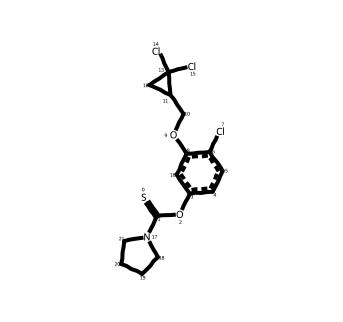 S=C(Oc1ccc(Cl)c(OCC2CC2(Cl)Cl)c1)N1CCCC1